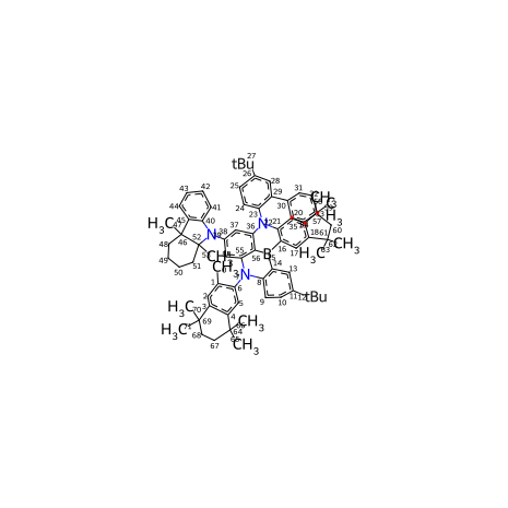 Cc1cc2c(cc1N1c3ccc(C(C)(C)C)cc3B3c4cc5c(cc4N(c4ccc(C(C)(C)C)cc4-c4ccccc4)c4cc(N6c7ccccc7C7(C)CCCCC67C)cc1c43)C(C)(C)CC5(C)C)C(C)(C)CCC2(C)C